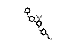 O=CCc1ccc(Oc2ccc([N+](=O)[O-])c(N3CCC(Sc4ccccn4)CC3)c2)cc1